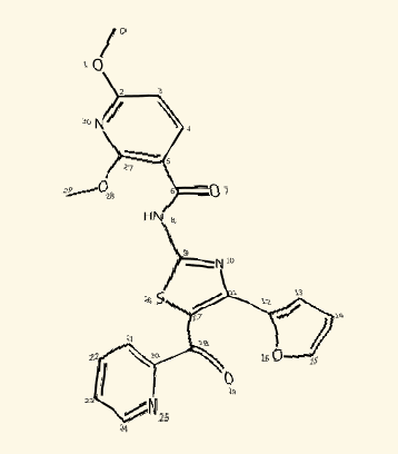 COc1ccc(C(=O)Nc2nc(-c3ccco3)c(C(=O)c3ccccn3)s2)c(OC)n1